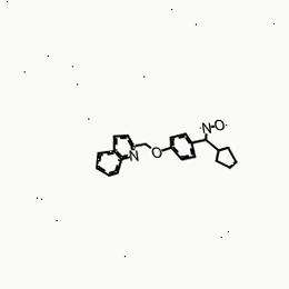 [O][N]C(c1ccc(OCc2ccc3ccccc3n2)cc1)C1CCCC1